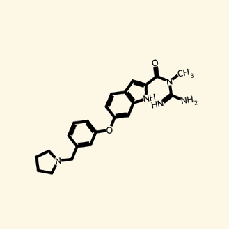 CN(C(=N)N)C(=O)c1cc2ccc(Oc3cccc(CN4CCCC4)c3)cc2[nH]1